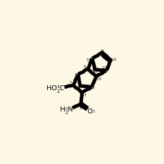 NC(=O)C1C2CC(C1C(=O)O)C1C3C=CC(C3)C21